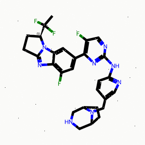 CC(F)(F)[C@@H]1CCc2nc3c(F)cc(-c4nc(Nc5ccc(CN6C7CCC6CNC7)cn5)ncc4F)cc3n21